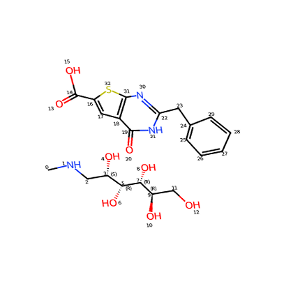 CNC[C@H](O)[C@@H](O)[C@H](O)[C@H](O)CO.O=C(O)c1cc2c(=O)[nH]c(Cc3ccccc3)nc2s1